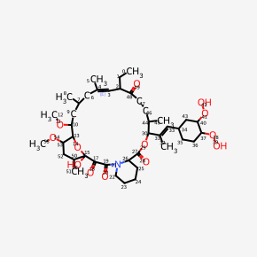 CCC1/C=C(\C)CC(C)CC(OC)C2OC(O)(C(=O)C(=O)N3CCCCC3C(=O)OC(C(C)=CC3CCC(OO)C(OO)C3)C(C)CCC1=O)C(C)CC2OC